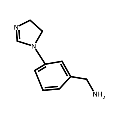 NCc1cccc(N2C=NCC2)c1